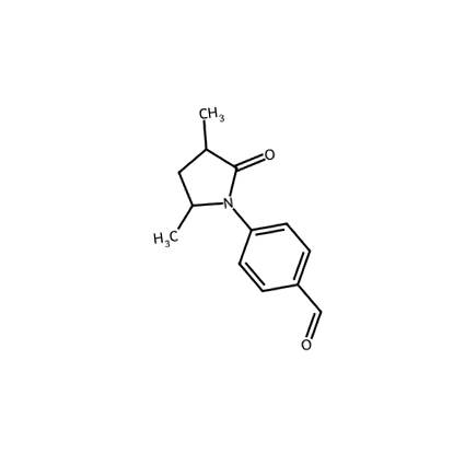 CC1CC(C)N(c2ccc(C=O)cc2)C1=O